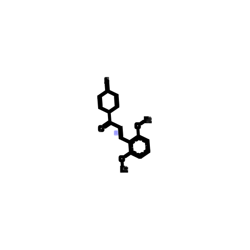 CCOc1cccc(OCC)c1/C=C/C(=O)C1C=CC(=S)C=C1